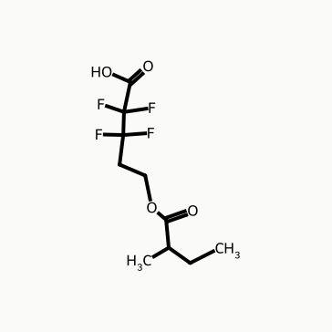 CCC(C)C(=O)OCCC(F)(F)C(F)(F)C(=O)O